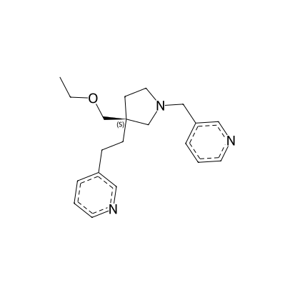 CCOC[C@@]1(CCc2cccnc2)CCN(Cc2cccnc2)C1